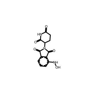 O=C1CCC(N2C(=O)c3cccc(NO)c3C2=O)C(=O)N1